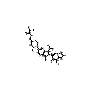 CNC(=O)CCN1CCN(c2ccc3[nH]c(-c4cn5ncnc5c(C)c4C)c(C(C)C)c3n2)[C@@H](C)C1